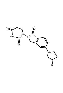 [2H]C1CCN(c2ccc3c(c2)CN(C2CCC(=O)NC2=O)C3=O)C1